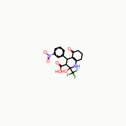 O=C1CCCC2=C1C(c1cccc([N+](=O)[O-])c1)C(C(=O)O)C(O)(C(F)(F)F)N2